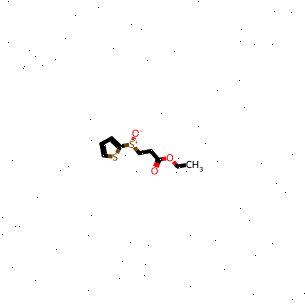 CCOC(=O)CC[S+]([O-])c1cccs1